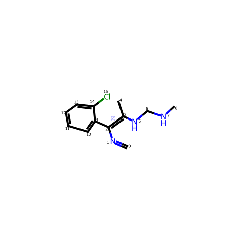 C=N/C(=C(/C)NCNC)c1ccccc1Cl